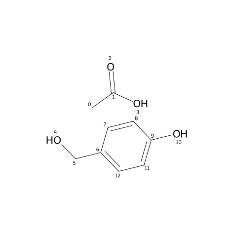 CC(=O)O.OCc1ccc(O)cc1